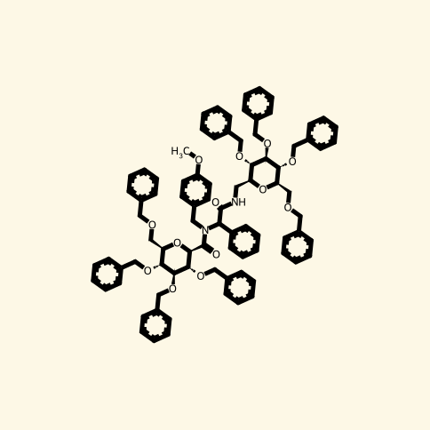 COc1ccc(CN(C(=O)[C@@H]2O[C@H](COCc3ccccc3)[C@@H](OCc3ccccc3)[C@H](OCc3ccccc3)[C@H]2OCc2ccccc2)C(C(=O)NC[C@@H]2O[C@H](COCc3ccccc3)[C@@H](OCc3ccccc3)[C@H](OCc3ccccc3)[C@H]2OCc2ccccc2)c2ccccc2)cc1